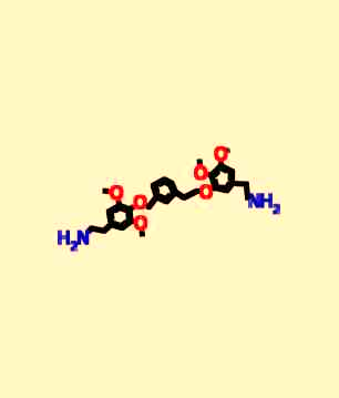 COc1cc(CCN)cc(OCCc2cccc(COc3c(OC)cc(CCN)cc3OC)c2)c1OC